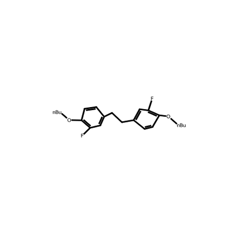 CCCCOc1ccc(CCc2ccc(OCCCC)c(F)c2)cc1F